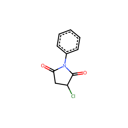 O=C1CC(Cl)C(=O)N1c1ccccc1